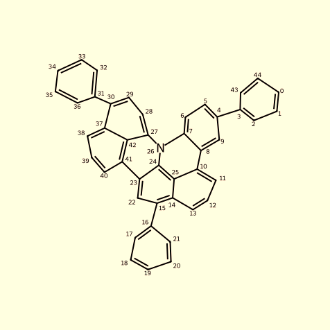 c1ccc(-c2ccc3c(c2)-c2cccc4c(-c5ccccc5)cc5c(c24)N3c2ccc(-c3ccccc3)c3cccc-5c23)cc1